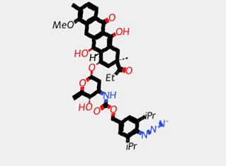 C=C1O[C@@H](O[C@H]2C[C@](C)(C(=O)CC)CC3=C(O)C4=C(Cc5c(ccc(C)c5OC)C4=O)[C@H](O)[C@@H]32)CC(NC(=O)OCc2cc(C(C)C)c(N=[N+]=[N-])c(C(C)C)c2)[C@@H]1O